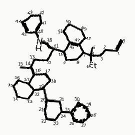 C=CCCC(C)(CC)C1CCC(C(CCC(C)C2CCC(C3CCCC(c4ccccc4)C3)C3CCCCC23)CNC2=CCCC=C2)C2=C1CCCC2